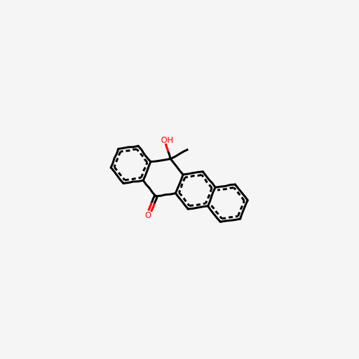 CC1(O)c2ccccc2C(=O)c2cc3ccccc3cc21